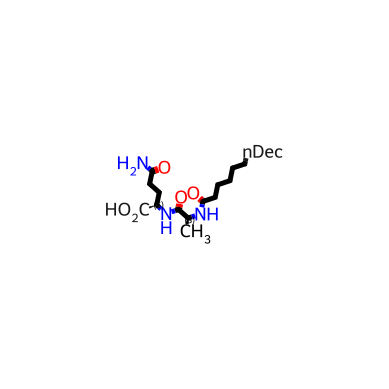 CCCCCCCCCCCCCCCC(=O)N[C@@H](C)C(=O)N[C@@H](CCC(N)=O)C(=O)O